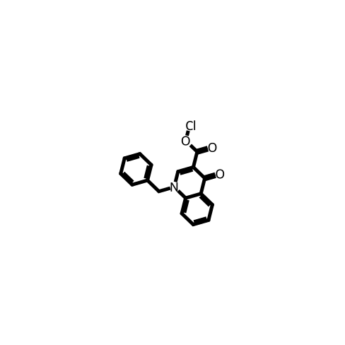 O=C(OCl)c1cn(Cc2ccccc2)c2ccccc2c1=O